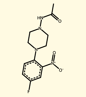 CC(=O)NN1CCN(c2ccc(F)cc2[N+](=O)[O-])CC1